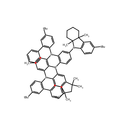 Cc1cc2c3c(c1)N(c1ccc(C(C)(C)C)cc1-c1ccccc1)c1cc4c(cc1B3c1ccc(N3c5ccc(C(C)(C)C)cc5C5(C)CCCCC35C)cc1N2c1ccc(C(C)(C)C)cc1-c1ccccc1)C(C)(C)CC4(C)C